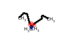 CCCCC/C=C\C/C=C\CCCCCCCC(=O)O[C@@H]1C[N+](C)(C)C[C@H]1OC(=O)CCCCCCC/C=C\C/C=C\CCCCC